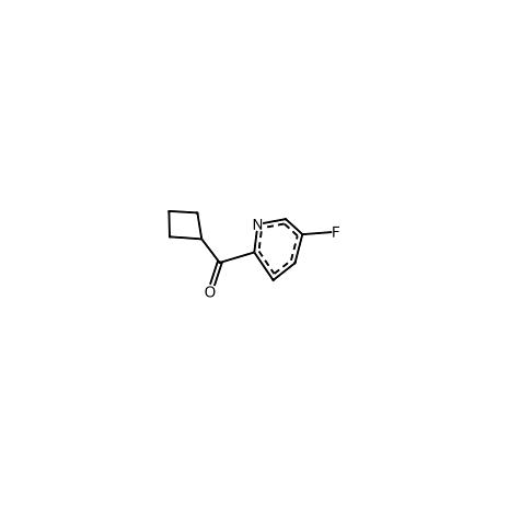 O=C(c1ccc(F)cn1)C1CCC1